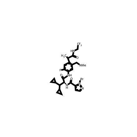 CNCc1cc(NC(=O)[C@@H](NC(=O)c2ccnn2C(C)C)C(C2CC2)C2CC2)c(F)cc1C(C)C(=O)NCC(F)(F)F